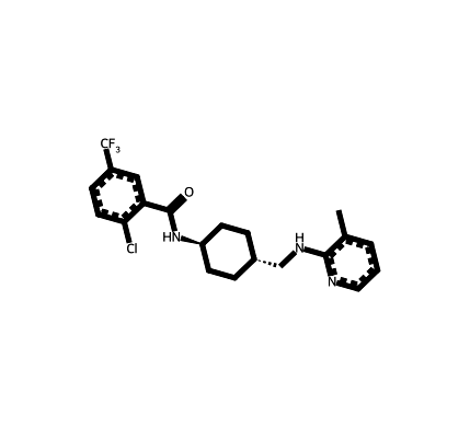 Cc1cccnc1NC[C@H]1CC[C@H](NC(=O)c2cc(C(F)(F)F)ccc2Cl)CC1